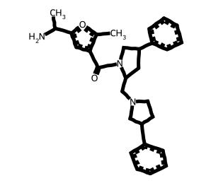 Cc1oc(C(C)N)cc1C(=O)N1CC(c2ccccc2)CC1CN1CCC(c2ccccc2)C1